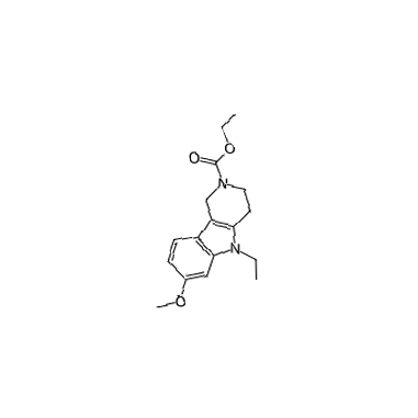 CCOC(=O)N1CCc2c(c3ccc(OC)cc3n2CC)C1